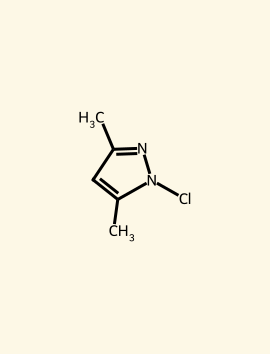 Cc1cc(C)n(Cl)n1